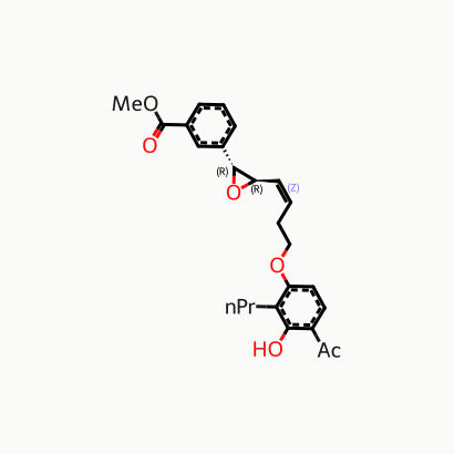 CCCc1c(OCC/C=C\[C@H]2O[C@@H]2c2cccc(C(=O)OC)c2)ccc(C(C)=O)c1O